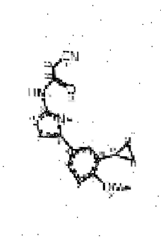 COc1ccc(-c2csc(NC(=O)CC#N)n2)cc1C1CC1